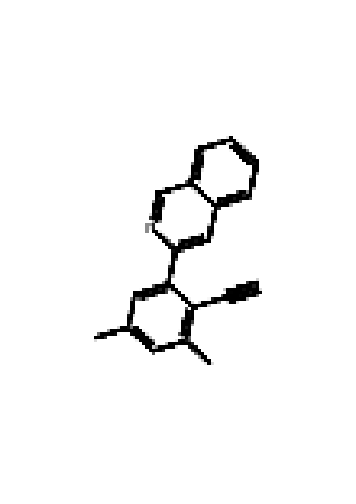 C#Cc1c(C)cc(C)cc1-c1cc2ccccc2cn1